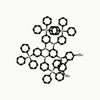 CC(C)(C)c1ccc2c(c1)c1cc(C(C)(C)C)ccc1n2-c1cc2c3c(c1)N(c1cccc([Si](c4ccccc4)(c4ccccc4)c4ccccc4)c1)c1cc([Si](c4ccccc4)(c4ccccc4)c4ccccc4)ccc1B3c1ccc([Si](c3ccccc3)(c3ccccc3)c3ccccc3)cc1N2c1cccc([Si](c2ccccc2)(c2ccccc2)c2ccccc2)c1